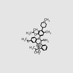 COc1ccc2c(c1)C(N)N(c1ccccc1S(=O)(=O)C(C)C)C(N)N2c1cc(C)c(C2CCN(C)CC2)cc1OC(C)C